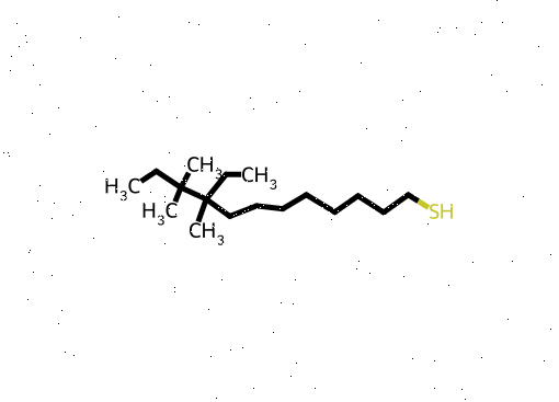 CCC(C)(C)C(C)(CC)CCCCCCCCS